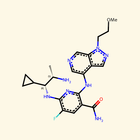 COCCn1ncc2c(Nc3nc(N[C@H](C4CC4)[C@H](C)N)c(F)cc3C(N)=O)cncc21